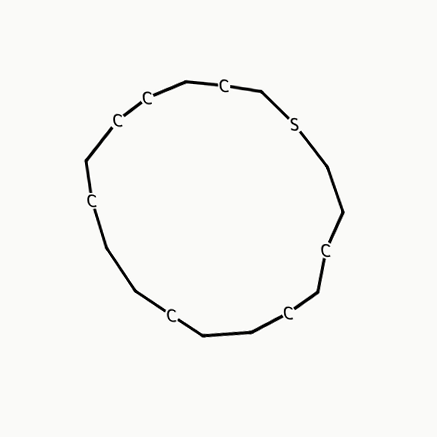 C1CCCCCCCCSCCCCCCCC1